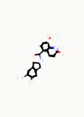 CCCCOc1ccc(C(CO)NC2Cc3cc(CC)c(CC)cc3C2)c2ccc(=O)[nH]c12